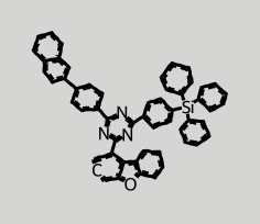 c1ccc([Si](c2ccccc2)(c2ccccc2)c2ccc(-c3nc(-c4ccc(-c5ccc6ccccc6c5)cc4)nc(-c4cccc5oc6ccccc6c45)n3)cc2)cc1